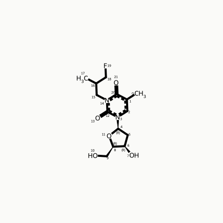 Cc1cn([C@H]2C[C@@H](O)[C@@H](CO)O2)c(=O)n(CC(C)CF)c1=O